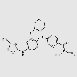 Cc1nsc(Nc2ccc(Oc3ccc(C(=O)N(C)C)cc3)c(CC3CCOCC3)c2)n1